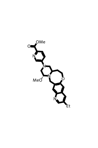 CCc1cnc2cc3c(cc2c1)OCCC1CN(c2ccc(C(=O)OC)nc2)C[C@@H](OC)N1C3